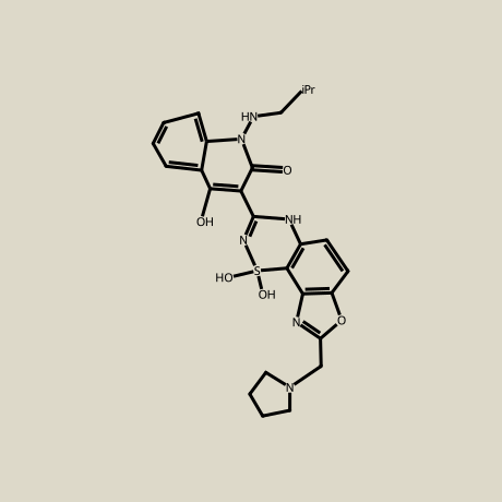 CC(C)CNn1c(=O)c(C2=NS(O)(O)c3c(ccc4oc(CN5CCCC5)nc34)N2)c(O)c2ccccc21